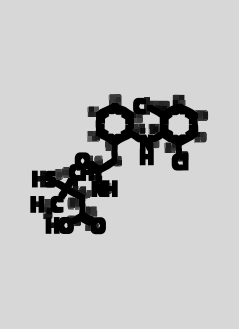 CC(C)(S)[C@H](NC(=O)Cc1ccccc1Nc1c(Cl)cccc1Cl)C(=O)O